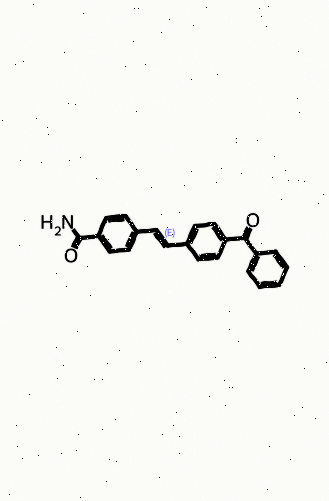 NC(=O)c1ccc(/C=C/c2ccc(C(=O)c3ccccc3)cc2)cc1